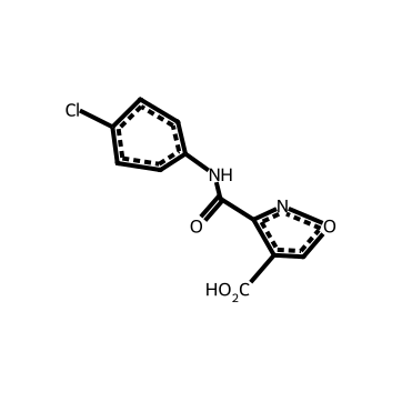 O=C(O)c1conc1C(=O)Nc1ccc(Cl)cc1